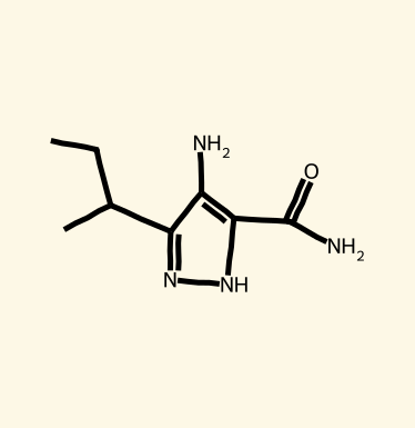 CCC(C)c1n[nH]c(C(N)=O)c1N